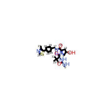 CNC(=O)NC(C(=O)N1CC(O)CC1C(=O)NCc1ccc(-c2scnc2C)cc1)C(C)(C)C